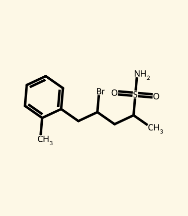 Cc1ccccc1CC(Br)CC(C)S(N)(=O)=O